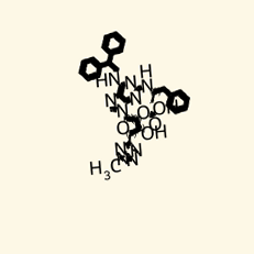 Cn1nnc([C@H]2O[C@@H](n3cnc4c(NCC(c5ccccc5)c5ccccc5)nc(N[C@H](CO)Cc5ccccc5)nc43)[C@H](OC=O)[C@@H]2O)n1